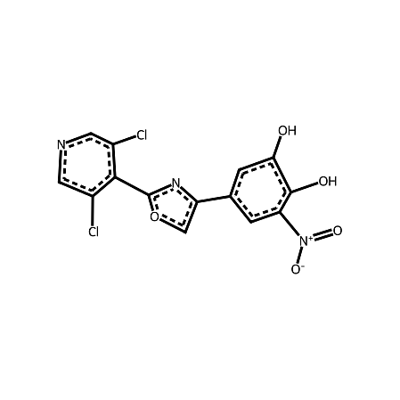 O=[N+]([O-])c1cc(-c2coc(-c3c(Cl)cncc3Cl)n2)cc(O)c1O